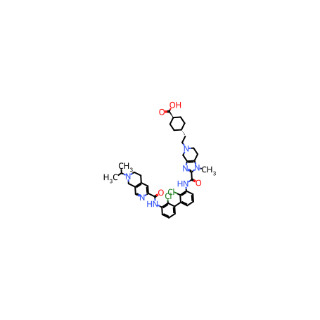 CC(C)N1CCc2cc(C(=O)Nc3cccc(-c4cccc(NC(=O)c5nc6c(n5C)CCN(CC[C@H]5CC[C@H](C(=O)O)CC5)C6)c4Cl)c3Cl)ncc2C1